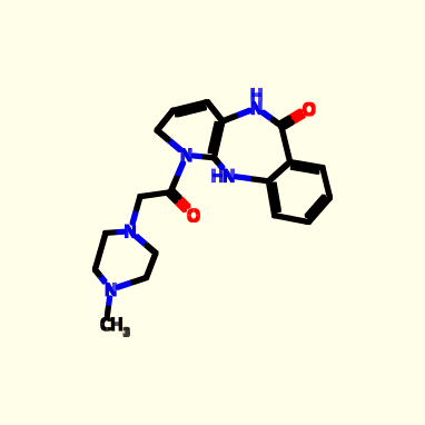 CN1CCN(CC(=O)N2CC=CC3=C2Nc2ccccc2C(=O)N3)CC1